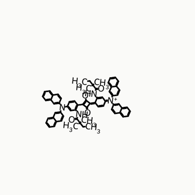 CCC(C)(C)C(=O)NC1=CC(=[N+](c2ccc3ccccc3c2)c2ccc3ccccc3c2)C=C/C1=C1\C(=O)C(c2ccc(N(c3ccc4ccccc4c3)c3ccc4ccccc4c3)cc2NC(=O)C(C)(C)CC)=C1[O-]